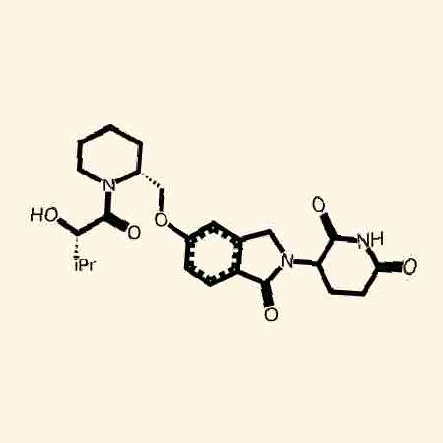 CC(C)[C@H](O)C(=O)N1CCCC[C@@H]1COc1ccc2c(c1)CN(C1CCC(=O)NC1=O)C2=O